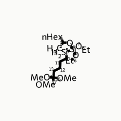 CCCCCCC(C)O[Si](OCC)(OCC)[SiH2]CCCCC(OC)(OC)OC